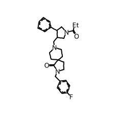 CCC(=O)N1CC(CN2CCC3(CC2)CCN(Cc2ccc(F)cc2)C3=O)C(c2ccccc2)C1